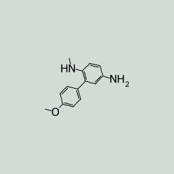 CNc1ccc(N)cc1-c1ccc(OC)cc1